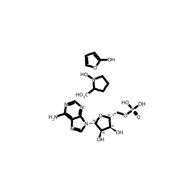 Nc1ncnc2c1ncn2[C@@H]1O[C@H](COP(=O)(O)O)[C@@H](O)[C@H]1O.O=C(O)C1CCCN1O.Oc1ccco1